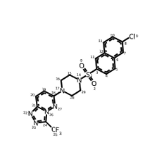 O=S(=O)(c1ccc2cc(Cl)ccc2c1)N1CCN(c2ccc3nnc(C(F)(F)F)n3n2)CC1